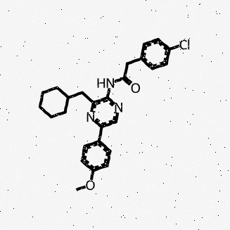 COc1ccc(-c2cnc(NC(=O)Cc3ccc(Cl)cc3)c(CC3CCCCC3)n2)cc1